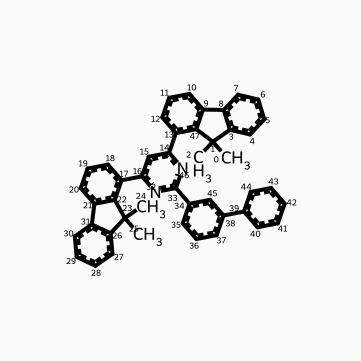 CC1(C)c2ccccc2-c2cccc(-c3cc(-c4cccc5c4C(C)(C)c4ccccc4-5)nc(-c4cccc(-c5ccccc5)c4)n3)c21